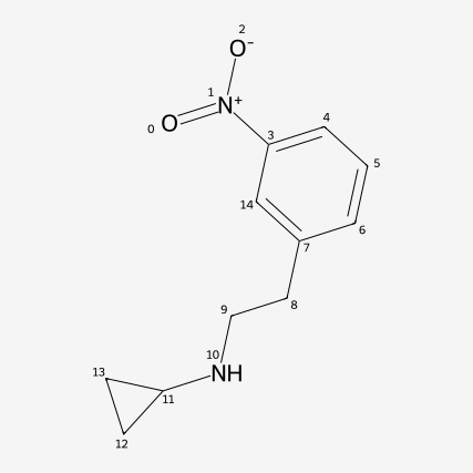 O=[N+]([O-])c1cccc(CCNC2CC2)c1